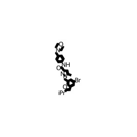 Cc1cc(C(=O)Nc2ccc(CN3CCOCC3)cc2)nn1Cc1cc(Br)cc2cc(C(C)C)oc12